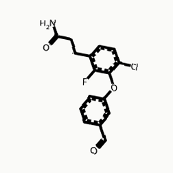 NC(=O)C[CH]c1ccc(Cl)c(Oc2cccc(C=O)c2)c1F